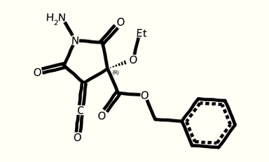 CCO[C@@]1(C(=O)OCc2ccccc2)C(=O)N(N)C(=O)C1=C=O